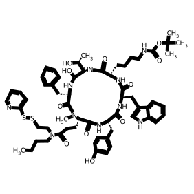 CCCCN(CCSSc1ccccn1)C(=O)CC[C@H]1C(=O)N[C@@H](Cc2ccc(O)cc2)C(=O)N[C@H](Cc2c[nH]c3ccccc23)C(=O)N[C@@H](CCCCNC(=O)OC(C)(C)C)C(=O)N[C@@H]([C@@H](C)O)C(O)N[C@@H](Cc2ccccc2)C(=O)N1C